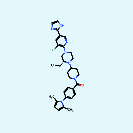 CC[C@H]1CN(c2ncc(-c3ncc[nH]3)cc2Cl)CCN1C1CCN(C(=O)c2ccc(-n3c(C)ccc3C)cc2)CC1